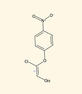 O=[N+]([O-])c1ccc(O/C(Cl)=C\O)cc1